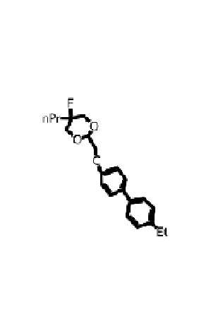 CCCC1(F)COC(CCc2ccc(-c3ccc(CC)cc3)cc2)OC1